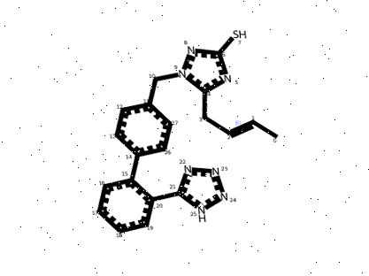 C/C=C/Cc1nc(S)nn1Cc1ccc(-c2ccccc2-c2nnn[nH]2)cc1